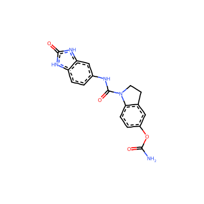 NC(=O)Oc1ccc2c(c1)CCN2C(=O)Nc1ccc2[nH]c(=O)[nH]c2c1